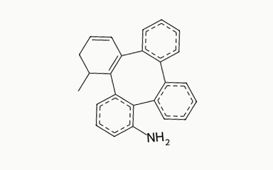 CC1CC=CC2=C1c1cccc(N)c1-c1ccccc1-c1ccccc12